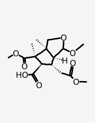 COC(=O)C[C@@H]1[C@@H](C(=O)O)[C@@](C)(C(=O)OC)[C@@]2(C)COC(OC)[C@@H]12